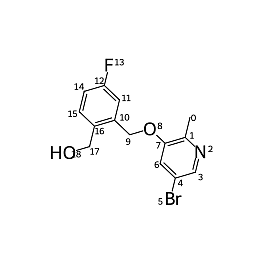 Cc1ncc(Br)cc1OCc1cc(F)ccc1CO